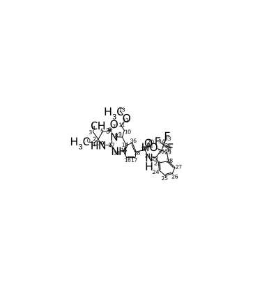 CCC1(CC)CC(=O)N(C(CCOC)c2cccc(C(=O)NC3c4ccccc4CC3(O)C(F)(F)F)c2)C(=N)N1